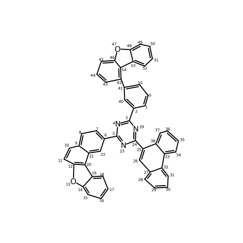 c1cc(-c2nc(-c3ccc4ccc5oc6ccccc6c5c4c3)nc(-c3cc4ccccc4c4ccccc34)n2)cc(-c2cccc3oc4ccccc4c23)c1